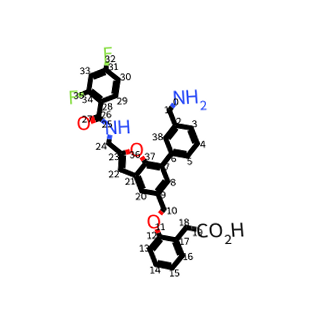 NCc1cccc(-c2cc(COc3ccccc3CC(=O)O)cc3cc(CNC(=O)c4ccc(F)cc4F)oc23)c1